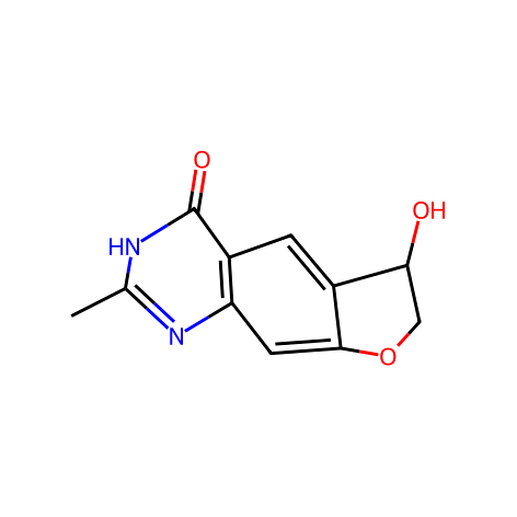 Cc1nc2cc3c(cc2c(=O)[nH]1)C(O)CO3